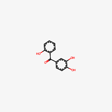 O=C(c1ccc(O)c(O)c1)c1ccccc1O